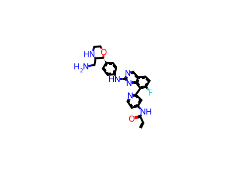 C=CC(=O)Nc1ccnc(-c2c(F)ccc3cnc(Nc4ccc([C@H]5OCCNC5CN)cc4)nc23)c1